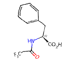 O=C(O)[C@H](Cc1ccccc1)NC(=O)C(F)(F)F